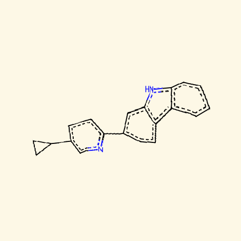 c1ccc2c(c1)[nH]c1cc(-c3ccc(C4CC4)cn3)ccc12